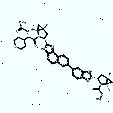 COC(=O)N[C@H](C(=O)N1[C@@H]2C[C@@H]2C[C@H]1c1nc2c(ccc3cc(-c4ccc5nc([C@@H]6C[C@H]7C[C@H]7N6C(=O)OC(C)(C)C)[nH]c5c4)ccc32)[nH]1)C1CCOCC1